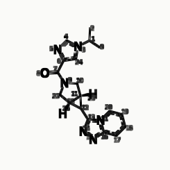 CC(C)n1cnc(C(=O)N2C[C@@H]3C(c4nnc5ccccn45)[C@@H]3C2)c1